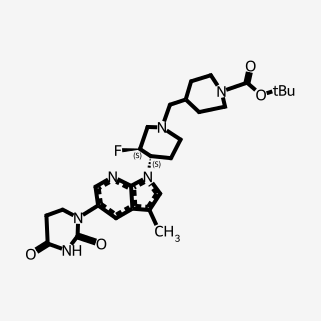 Cc1cn([C@H]2CCN(CC3CCN(C(=O)OC(C)(C)C)CC3)C[C@@H]2F)c2ncc(N3CCC(=O)NC3=O)cc12